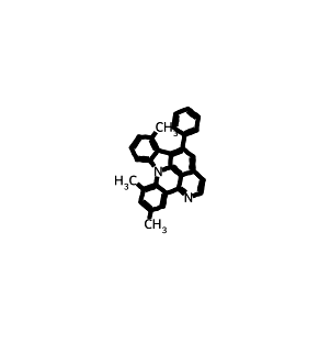 Cc1cc(C)c2c(c1)c1nccc3cc(-c4ccccc4)c4c5c(C)cccc5n2c4c31